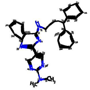 CN(C)c1ncc(-c2nc(NCCC(c3ccccc3)c3ccccc3)c3ccccc3n2)cn1